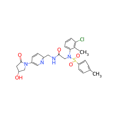 Cc1ccc(S(=O)(=O)N(CC(=O)NCc2ccc(N3CC(O)CC3=O)cn2)c2cccc(Cl)c2C)cc1